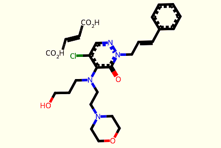 O=C(O)/C=C/C(=O)O.O=c1c(N(CCCO)CCN2CCOCC2)c(Cl)cnn1C/C=C/c1ccccc1